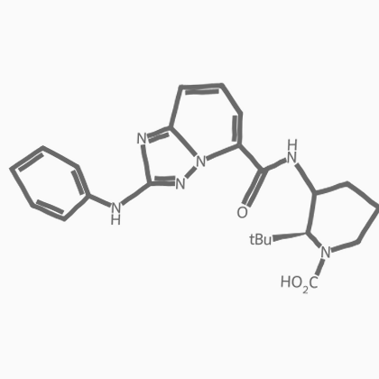 CC(C)(C)[C@H]1C(NC(=O)c2cccc3nc(Nc4ccccc4)nn23)CCCN1C(=O)O